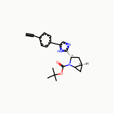 C#Cc1ccc(-c2cnc([C@@H]3C[C@H]4CC4N3C(=O)OC(C)(C)C)[nH]2)cc1